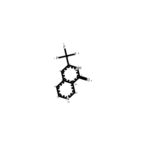 O=c1[nH]c(C(F)(F)F)cc2ccncc12